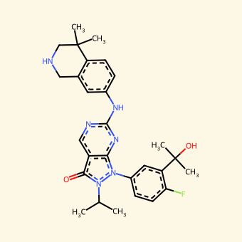 CC(C)n1c(=O)c2cnc(Nc3ccc4c(c3)CNCC4(C)C)nc2n1-c1ccc(F)c(C(C)(C)O)c1